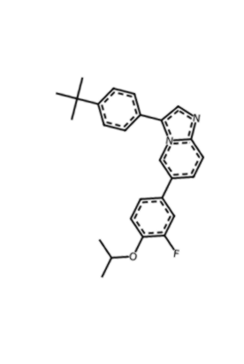 CC(C)Oc1ccc(-c2ccc3ncc(-c4ccc(C(C)(C)C)cc4)n3c2)cc1F